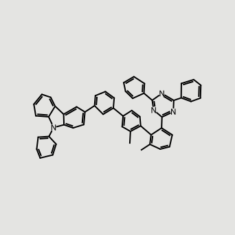 Cc1cc(-c2cccc(-c3ccc4c(c3)c3ccccc3n4-c3ccccc3)c2)ccc1-c1c(C)cccc1-c1nc(-c2ccccc2)nc(-c2ccccc2)n1